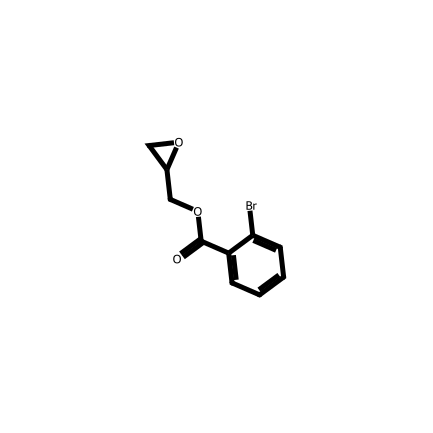 O=C(OCC1CO1)c1ccccc1Br